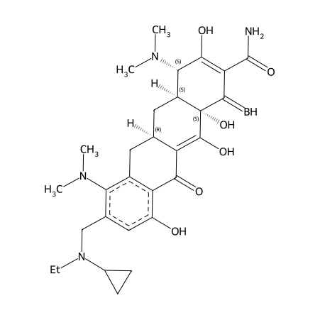 B=C1C(C(N)=O)=C(O)[C@@H](N(C)C)[C@@H]2C[C@@H]3Cc4c(c(O)cc(CN(CC)C5CC5)c4N(C)C)C(=O)C3=C(O)[C@]12O